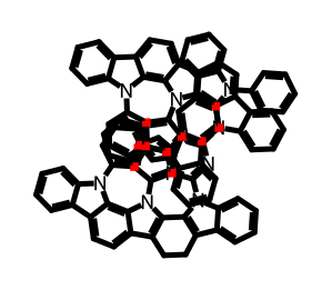 C1=CC(c2nc(-n3c4c(c5ccccc53)CCc3c-4n(-c4ccccc4)c4c3ccc3c5ccccc5n(C5=CC(n6c7ccccc7c7cc8c(cc76)c6ccccc6n8-c6ccccc6)=CCC5)c34)nc(-n3c4ccccc4c4ccc5c6ccc7c8ccccc8n(-c8ccccc8)c7c6n(-c6ccccc6)c5c43)n2)=CCC1